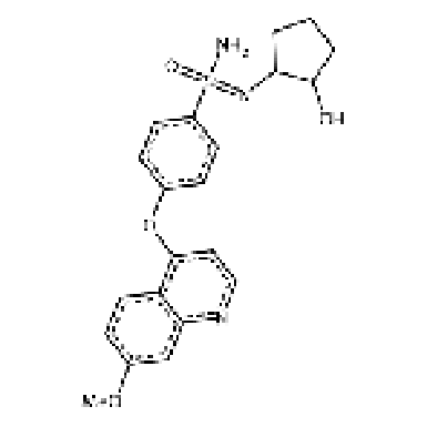 COc1ccc2c(Oc3ccc(S(N)(=O)=NC4CCCC4O)cc3)ccnc2c1